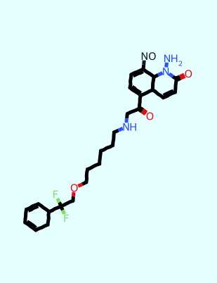 NN1C(=O)C=CC2C(C(=O)CNCCCCCCOCC(F)(F)C3C=CC=CC3)=CC=C(N=O)C21